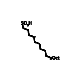 CCCCCCCCCCCCC[CH]CCCS(=O)(=O)O